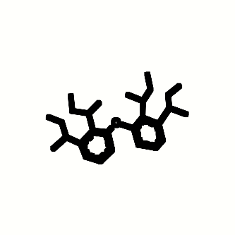 CCC(C)c1cccc(Oc2cccc(C(C)CC)c2C(C)CC)c1C(C)CC